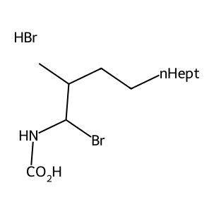 Br.CCCCCCCCCC(C)C(Br)NC(=O)O